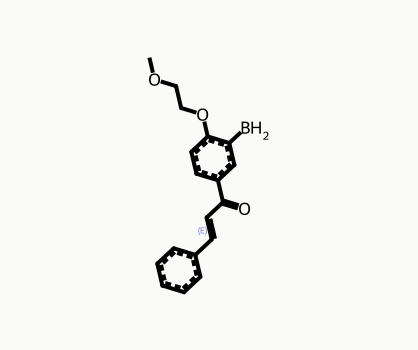 Bc1cc(C(=O)/C=C/c2ccccc2)ccc1OCCOC